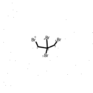 BrCC(Br)(Br)CBr